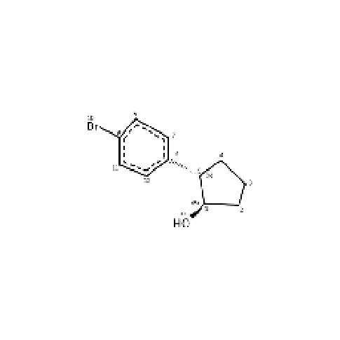 O[C@@H]1CCC[C@H]1c1ccc(Br)cc1